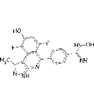 Cc1n[nH]c2nc(-c3ccc(C(=N)NO)cc3)c3c(F)cc(O)c(F)c3c12